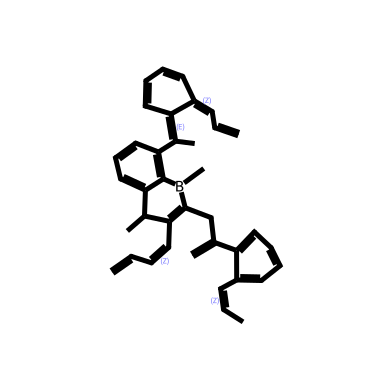 C=C/C=C\C1=C(CC(=C)c2ccccc2/C=C\C)B(C)c2c(/C(C)=c3\cccc\c3=C\C=C)cccc2C1C